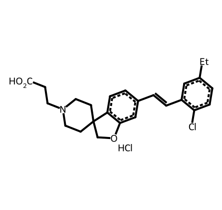 CCc1ccc(Cl)c(C=Cc2ccc3c(c2)OCC32CCN(CCC(=O)O)CC2)c1.Cl